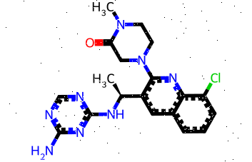 C[C@H](Nc1ncnc(N)n1)c1cc2cccc(Cl)c2nc1N1CCN(C)C(=O)C1